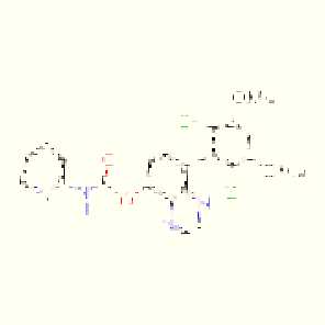 COc1cc(OC)c(Cl)c(-c2ccc(OC(=O)Nc3ccccn3)c3nccnc23)c1Cl